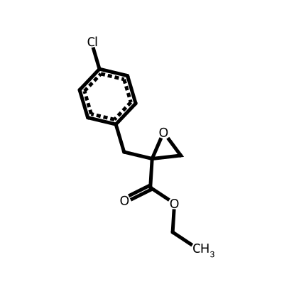 CCOC(=O)C1(Cc2ccc(Cl)cc2)CO1